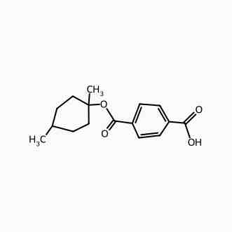 CC1CCC(C)(OC(=O)c2ccc(C(=O)O)cc2)CC1